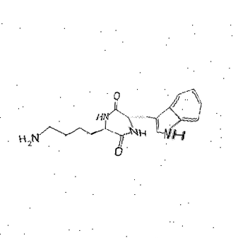 NCCCC[C@H]1NC(=O)[C@H](Cc2c[nH]c3ccccc23)NC1=O